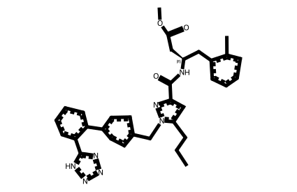 CCCc1cc(C(=O)N[C@@H](CC(=O)OC)Cc2ccccc2C)nn1Cc1ccc(-c2ccccc2-c2nnn[nH]2)cc1